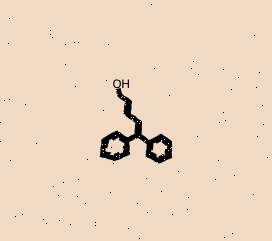 OCC=CC=C(c1ccccc1)c1ccccc1